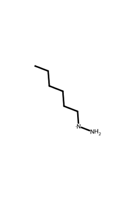 CCCCCC[N]N